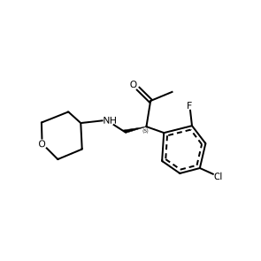 CC(=O)[C@H](CNC1CCOCC1)c1ccc(Cl)cc1F